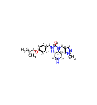 CC(C)COc1ccc(CNC(=O)N(Cc2cnn(C)c2)C2CCNCC2)cc1